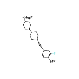 CCCCCCCC1CCC(C2CCC(C#Cc3ccc(CCC)c(F)c3)CC2)CC1